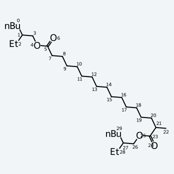 CCCCC(CC)COC(=O)CCCCCCCCCCCCCCC(C)C(=O)OCC(CC)CCCC